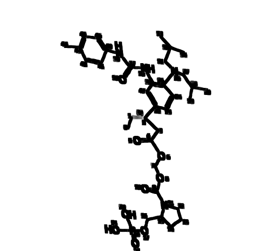 CC[C@@H](CC(=O)OCOC(=O)N1CCCC1COP(=O)(O)O)c1ccc(N(CC(C)C)CC(C)C)c(NC(=O)Nc2ccc(C)cc2)c1